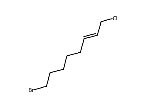 ClCC=CCCCCCBr